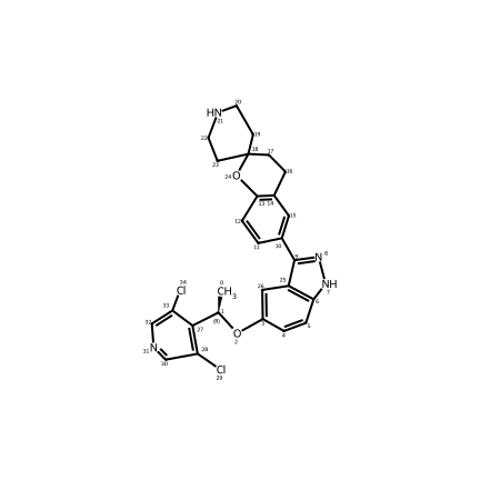 C[C@@H](Oc1ccc2[nH]nc(-c3ccc4c(c3)CCC3(CCNCC3)O4)c2c1)c1c(Cl)cncc1Cl